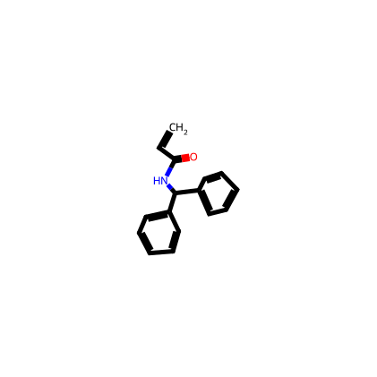 C=CC(=O)NC(c1ccccc1)c1ccccc1